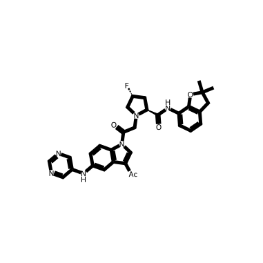 CC(=O)c1cn(C(=O)CN2C[C@H](F)C[C@H]2C(=O)Nc2cccc3c2OC(C)(C)C3)c2ccc(Nc3cncnc3)cc12